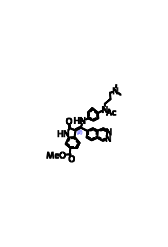 COC(=O)c1ccc2c(c1)NC(=O)/C2=C(\Nc1ccc(N(CCCN(C)C)C(C)=O)cc1)c1ccc2cnncc2c1